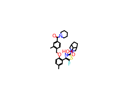 Cc1ccc(OCc2ccc(C(=O)N3CCCCC3)cc2C)c(-c2nc(N3CC4CCC(C3)C4C(=O)O)sc2F)c1